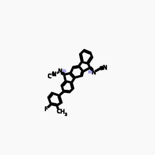 [C-]#[N+]/N=c1\c2cc(-c3ccc(F)c(C)c3)ccc2c2cc3/c(=N/C#N)c4ccccc4c3cc12